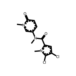 CN(C(=O)c1cc(Cl)c(Cl)n1C)c1ccc(=O)n(C)c1